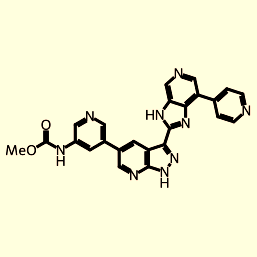 COC(=O)Nc1cncc(-c2cnc3[nH]nc(-c4nc5c(-c6ccncc6)cncc5[nH]4)c3c2)c1